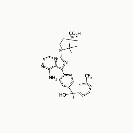 CC(O)(c1ccc(-c2nc([C@@H]3CC[C@](C)(C(=O)O)C3(C)C)n3ccnc(N)c23)cc1)c1cccc(C(F)(F)F)c1